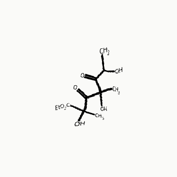 CCOC(=O)C(C)(O)C(=O)C(C)(O)C(=O)C(C)O